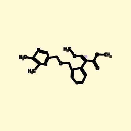 CO/C=C(/C(=O)OC)c1ccccc1COCc1cnc(C)c(C)n1